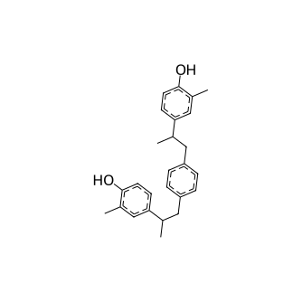 Cc1cc(C(C)Cc2ccc(CC(C)c3ccc(O)c(C)c3)cc2)ccc1O